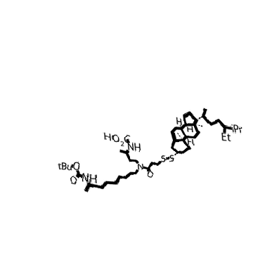 CCC(CCC(C)[C@H]1CC[C@H]2[C@@H]3CC=C4C[C@@H](SSCCC(=O)N(CCCCCCCC(C)NC(=O)OC(C)(C)C)CCC(C)NC(=O)O)CC[C@]4(C)[C@H]3CC[C@]12C)C(C)C